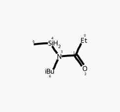 CCC(=O)N([SiH2]C)C(C)CC